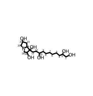 OCC(O)CCCCCCC(O)CCC1(O)C(O)CN2CC(O)CC21